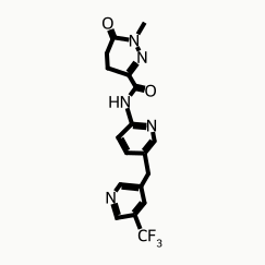 CN1N=C(C(=O)Nc2ccc(Cc3cncc(C(F)(F)F)c3)cn2)CCC1=O